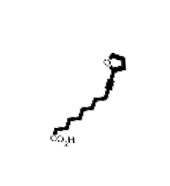 O=C(O)CCCCCCCCC#Cc1ccco1